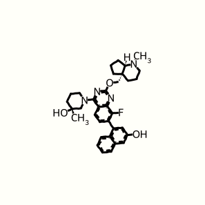 CN1CCC[C@@]2(COc3nc(N4CCC[C@@](C)(O)C4)c4ccc(-c5cc(O)cc6ccccc56)c(F)c4n3)CCC[C@@H]12